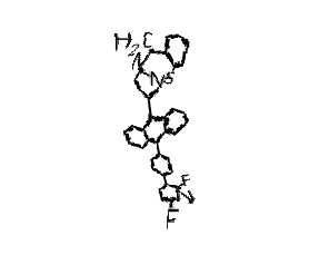 C=C1N=C2C=CC(c3c4ccccc4c(-c4ccc(-c5ccc(F)nc5F)cc4)c4ccccc34)=CN2Sc2ccccc21